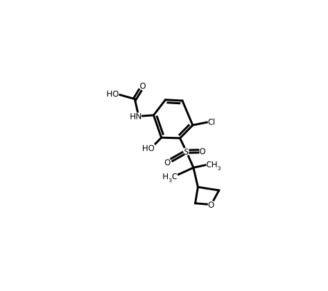 CC(C)(C1COC1)S(=O)(=O)c1c(Cl)ccc(NC(=O)O)c1O